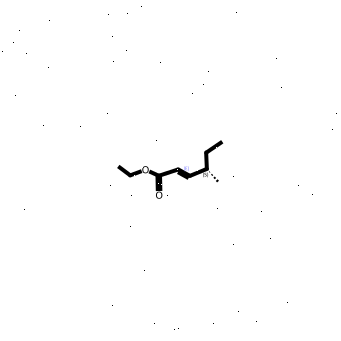 CCOC(=O)/C=C/[C@@H](C)CC